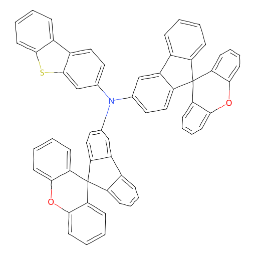 c1ccc2c(c1)Oc1ccccc1C21c2ccccc2-c2cc(N(c3ccc4c(c3)-c3ccccc3C43c4ccccc4Oc4ccccc43)c3ccc4c(c3)sc3ccccc34)ccc21